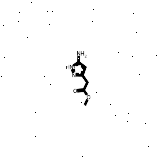 COC(=O)Cc1cc(N)[nH]n1